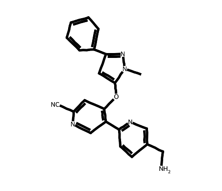 Cn1nc(-c2ccccc2)cc1Oc1cc(C#N)ncc1-c1ccc(CN)cn1